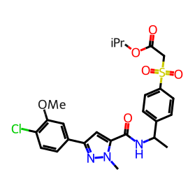 COc1cc(-c2cc(C(=O)NC(C)c3ccc(S(=O)(=O)CC(=O)OC(C)C)cc3)n(C)n2)ccc1Cl